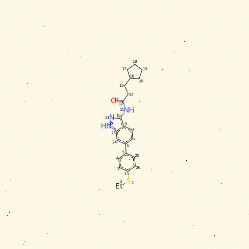 CCSc1ccc(-c2ccc3c(NC(=O)CCC4CCCC4)n[nH]c3c2)cc1